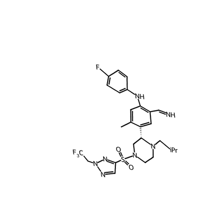 Cc1cc(Nc2ccc(F)cc2)c(C=N)cc1[C@H]1CN(S(=O)(=O)c2cnn(CC(F)(F)F)n2)CCN1CC(C)C